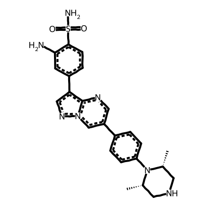 C[C@@H]1CNC[C@H](C)N1c1ccc(-c2cnc3c(-c4ccc(S(N)(=O)=O)c(N)c4)cnn3c2)cc1